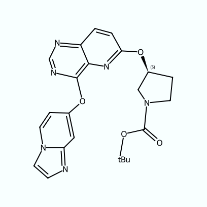 CC(C)(C)OC(=O)N1CC[C@H](Oc2ccc3ncnc(Oc4ccn5ccnc5c4)c3n2)C1